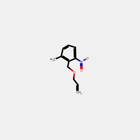 C=CCOCc1c(C)cccc1[N+](=O)[O-]